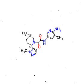 Cc1cc(NC(=O)C(=O)N2C[C@@H](C)CC[C@H]2c2ccnn2C)cnc1N